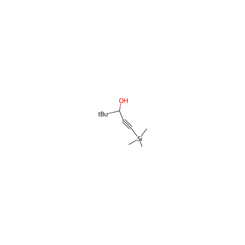 CC(C)(C)C(O)C#C[Si](C)(C)C